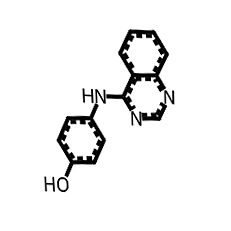 Oc1ccc(Nc2ncnc3ccccc23)cc1